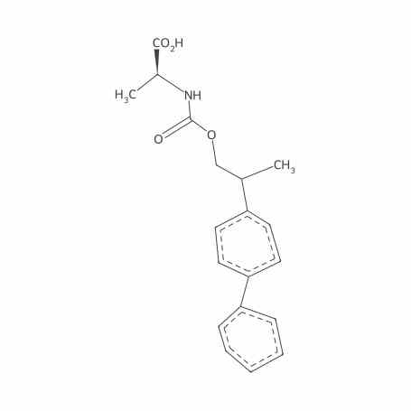 CC(COC(=O)N[C@@H](C)C(=O)O)c1ccc(-c2ccccc2)cc1